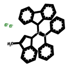 CC1=C[CH]([Zr+2]([CH]2c3ccccc3-c3ccccc32)=[Si](c2ccccc2)c2ccccc2)c2ccccc21.[Cl-].[Cl-]